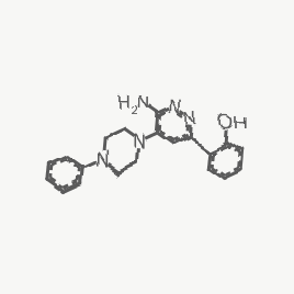 Nc1nnc(-c2ccccc2O)cc1N1CCN(c2ccccc2)CC1